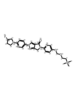 C[Si](C)(C)CCOCOc1ccc(N2Cc3nn(-c4ccc(N5CC[C@@H](F)C5)nc4)cc3C2=O)nc1